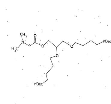 CCCCCCCCCCCCCCOCC(COC(=O)CN(C)C)OCCCCCCCCCCCCCC